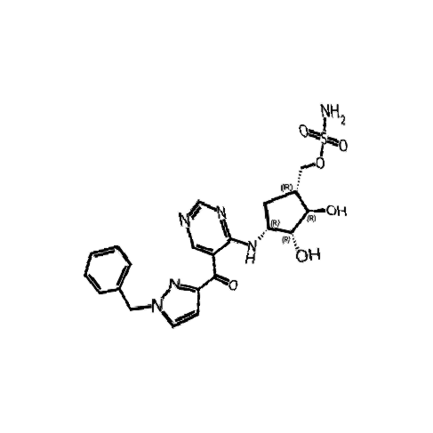 NS(=O)(=O)OC[C@H]1C[C@@H](Nc2ncncc2C(=O)c2ccn(Cc3ccccc3)n2)[C@@H](O)[C@@H]1O